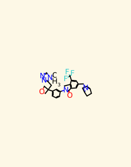 Cn1cnnc1CC1(c2cccc(N3Cc4c(cc(CN5C6CCC5CC6)cc4C(F)(F)F)C3=O)c2)COC1